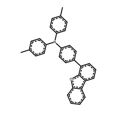 Cc1ccc(N(c2ccc(C)cc2)c2ccc(-c3cccc4c3oc3ccccc34)cc2)cc1